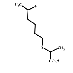 CC(F)CCCCSC(C)C(=O)O